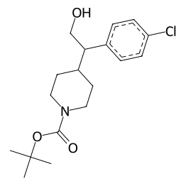 CC(C)(C)OC(=O)N1CCC(C(CO)c2ccc(Cl)cc2)CC1